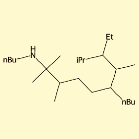 CCCCNC(C)(C)C(C)CCC(CCCC)C(C)C(CC)C(C)C